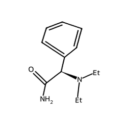 CCN(CC)[C@@H](C(N)=O)c1ccccc1